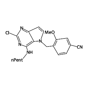 CCCCCNc1nc(Cl)nc2ccn(Cc3ccc(C#N)cc3OC)c12